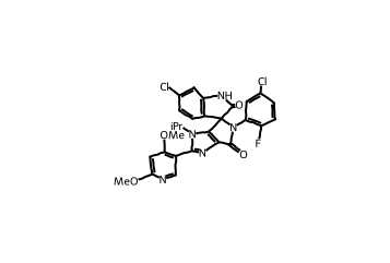 COc1cc(OC)c(-c2nc3c(n2C(C)C)C2(C(=O)Nc4cc(Cl)ccc42)N(c2cc(Cl)ccc2F)C3=O)cn1